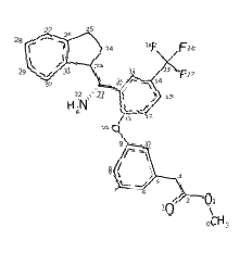 COC(=O)Cc1cccc(Oc2ccc(C(F)(F)F)cc2[C@H](N)C2CCc3ccccc32)c1